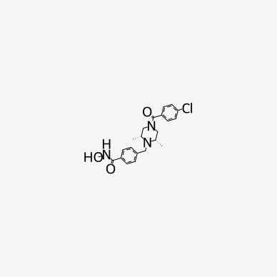 C[C@@H]1CN(C(=O)c2ccc(Cl)cc2)C[C@H](C)N1Cc1ccc(C(=O)NO)cc1